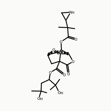 CC(C)(O)CC(OC(=O)C12Cc3oc1c(c3OC(=O)C(C)(C)C1CN1)OC2=O)C(C)(C)O